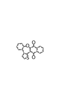 O=c1c2oc3ccccc3c3ccsc3c=2c(=O)c2ccccc12